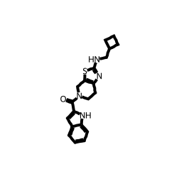 O=C(c1cc2ccccc2[nH]1)N1CCc2nc(NCC3CCC3)sc2C1